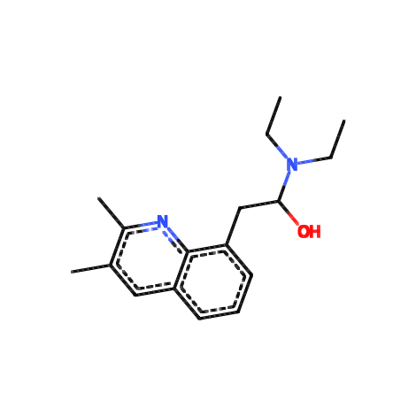 CCN(CC)C(O)Cc1cccc2cc(C)c(C)nc12